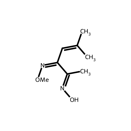 CON=C(C=C(C)C)C(C)=NO